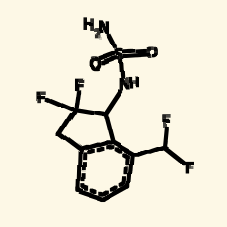 NS(=O)(=O)NC1c2c(cccc2C(F)F)CC1(F)F